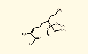 CCCC(CCC=C(C)C(=O)O)[Si](OC)(OC)OC